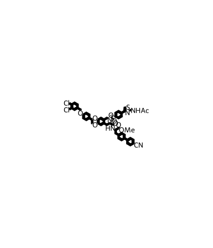 COC(=O)C(Cc1ccc(-c2ccc(C#N)cc2)cc1)NC(=O)C1Cc2cc3c(cc2CN1S(=O)(=O)c1ccc(-c2csc(NC(C)=O)n2)cc1)OC(c1ccc(OCc2ccc(Cl)c(Cl)c2)cc1)CO3